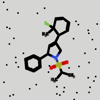 CC(C)S(=O)(=O)N1CC(C2C=CC=CC2(C)F)=CC1c1ccccc1